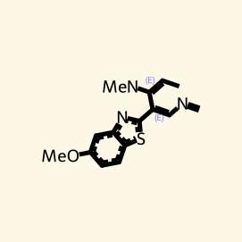 C=N/C=C(\C(=C/C)NC)c1nc2cc(OC)ccc2s1